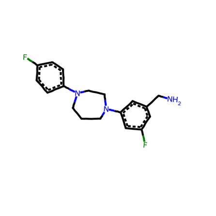 NCc1cc(F)cc(N2CCCN(c3ccc(F)cc3)CC2)c1